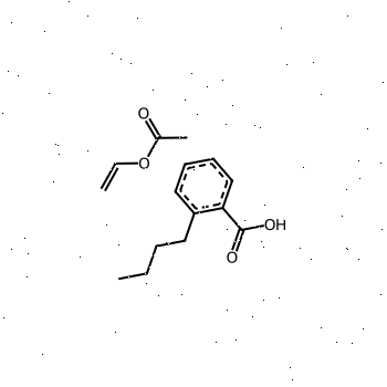 C=COC(C)=O.CCCCc1ccccc1C(=O)O